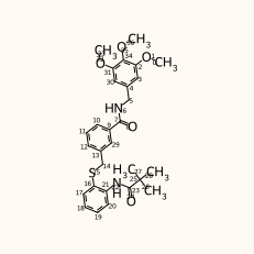 COc1cc(CNC(=O)c2cccc(CSc3ccccc3NC(=O)C(C)(C)C)c2)cc(OC)c1OC